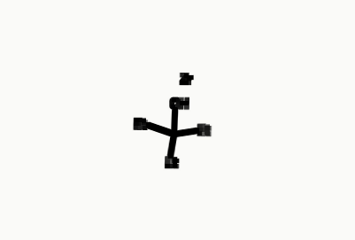 CCC(O)(CC)CC.[Zr]